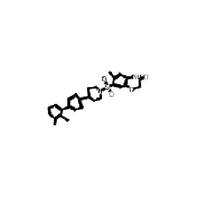 Cc1cc2c(cc1S(=O)(=O)N1CCC(c3ccc(-c4cccc(C)c4C)cc3)CC1)OCC(=O)N2